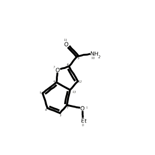 CCOc1cccc2oc(C(N)=O)cc12